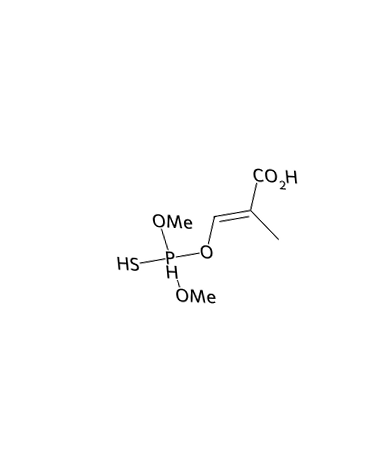 CO[PH](S)(OC)O/C=C(\C)C(=O)O